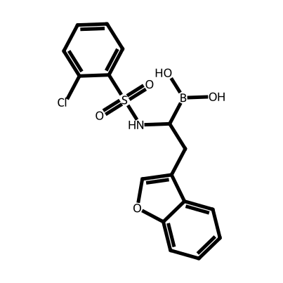 O=S(=O)(NC(Cc1coc2ccccc12)B(O)O)c1ccccc1Cl